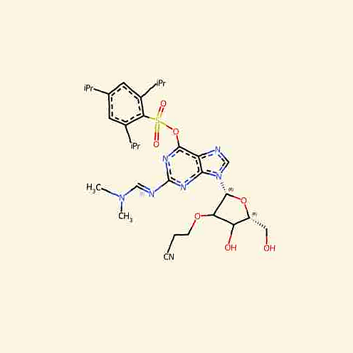 CC(C)c1cc(C(C)C)c(S(=O)(=O)Oc2nc(/N=C/N(C)C)nc3c2ncn3[C@@H]2O[C@H](CO)C(O)C2OCCC#N)c(C(C)C)c1